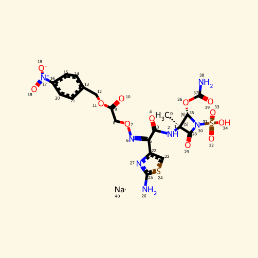 C[C@@]1(NC(=O)C(=NOCC(=O)OCc2ccc([N+](=O)[O-])cc2)c2csc(N)n2)C(=O)N(S(=O)(=O)O)[C@H]1OC(N)=O.[Na]